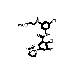 COCCN(C)c1cc(Cl)cc(NC(=O)c2cc(N3CCCS3(=O)=O)cc(F)c2Cl)c1